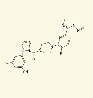 C=NN(C)/C(=N\C)c1ccc(F)c(N2CCN(C(=O)N3N=CC[C@H]3c3cc(F)cc(C#N)c3)CC2)n1